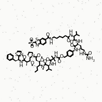 CC[C@H](C)[C@@H]([C@@H](CC(=O)N1CCC[C@H]1[C@H](OC)[C@@H](C)C(=O)N[C@@H](Cc1ccccc1)c1nccs1)OC)N(C)C(=O)[C@@H](NC(=O)C(C)(C)NC(=O)OCc1ccc(NC(=O)[C@H](CCCNC(N)=O)NC(=O)[C@@H](NC(=O)CCCCCNC(=O)c2ccc3nc(S(C)(=O)=O)sc3c2)C(C)C)cc1)C(C)C